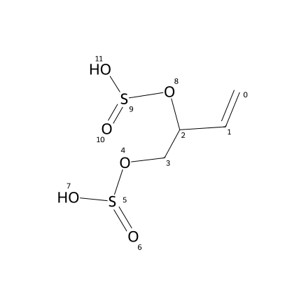 C=CC(COS(=O)O)OS(=O)O